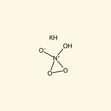 [KH].[O-][N+]1(O)OO1